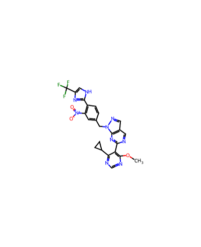 COc1ncnc(C2CC2)c1-c1ncc2cnn(Cc3ccc(-c4nc(C(F)(F)F)c[nH]4)c([N+](=O)[O-])c3)c2n1